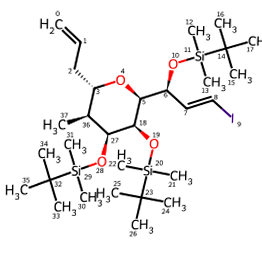 C=CC[C@@H]1O[C@@H]([C@H](/C=C/I)O[Si](C)(C)C(C)(C)C)[C@@H](O[Si](C)(C)C(C)(C)C)[C@@H](O[Si](C)(C)C(C)(C)C)[C@H]1C